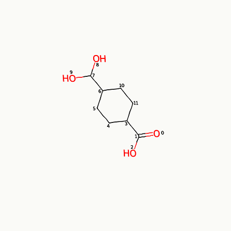 O=C(O)C1CCC(C(O)O)CC1